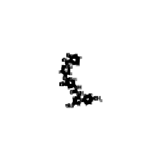 Cc1ccc(-n2nc(C(C)(C)C)cc2NC(=O)Nc2cnc(OC3CCN(C(=O)c4ccccc4F)CC3)c(Cl)c2)cc1